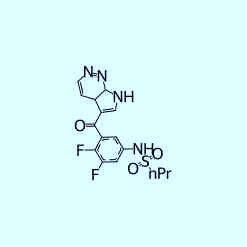 CCCS(=O)(=O)Nc1cc(F)c(F)c(C(=O)C2=CNC3N=NC=CC23)c1